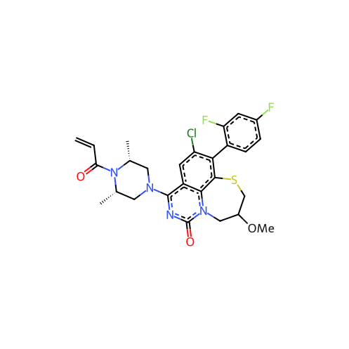 C=CC(=O)N1[C@H](C)CN(c2nc(=O)n3c4c(c(-c5ccc(F)cc5F)c(Cl)cc24)SCC(OC)C3)C[C@@H]1C